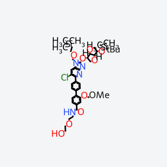 COCOc1cc(C(=O)NCCOCCO)ccc1-c1ccc(-c2nc3nc(O[C@@H]4CO[C@@H]5C(O[Si](C)(C)C(C)(C)C)CO[C@@H]54)n(COCC[Si](C)(C)C)c3cc2Cl)cc1